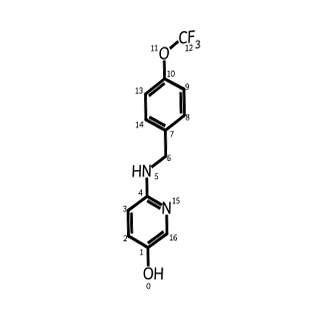 Oc1ccc(NCc2ccc(OC(F)(F)F)cc2)nc1